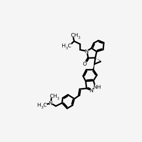 CC(C)CCN1C(=O)[C@@]2(C[C@H]2c2ccc3c(/C=C/c4ccc(CN(C)C)cc4)n[nH]c3c2)c2ccccc21